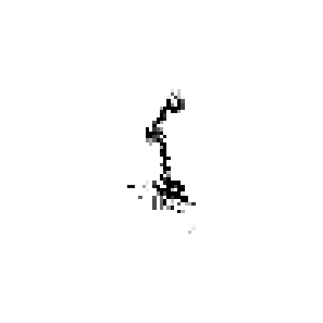 CCCc1c(OCCCCCc2nnn(CCCc3cccnc3)n2)ccc(C(C)=O)c1O